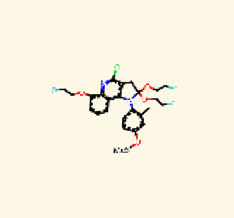 CSOc1ccc(N2c3c(c(Cl)nc4c(OCCF)cccc34)CC2(OCCF)OCCF)c(C)c1